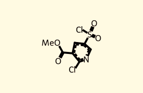 COC(=O)c1cc(S(=O)(=O)Cl)cnc1Cl